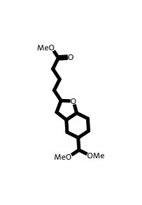 COC(=O)CCCC1CC2CC(C(OC)OC)CCC2O1